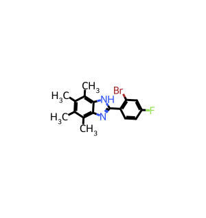 Cc1c(C)c(C)c2[nH]c(-c3ccc(F)cc3Br)nc2c1C